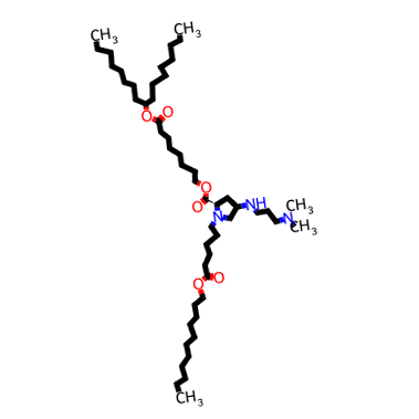 CCCCCCCCCCCOC(=O)CCCCCN1CC(NCCCN(C)C)C[C@H]1C(=O)OCCCCCCCC(=O)OC(CCCCCCCC)CCCCCCCC